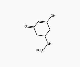 O=C1C=C(O)CC(NC(=O)O)C1